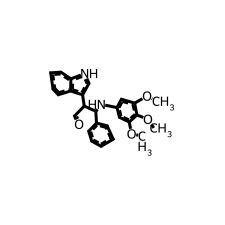 COc1cc(NC(c2ccccc2)C(C=O)c2c[nH]c3ccccc23)cc(OC)c1OC